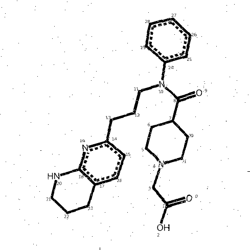 O=C(O)CN1CCC(C(=O)N(CCCc2ccc3c(n2)NCCC3)c2ccccc2)CC1